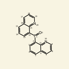 O=[P](c1cccc2cccnc12)c1cccc2cccnc12